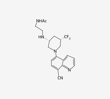 CC(=O)NCCN[C@@H]1C[C@H](C(F)(F)F)CN(c2ccc(C#N)c3ncccc23)C1